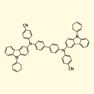 N#Cc1ccc(N(c2ccc(-c3ccc(N(c4ccc(C#N)cc4)c4ccc5c(c4)c4ccccc4n5C4=CC=CCC4)cc3)cc2)c2ccc3c(c2)c2ccccc2n3C2=CC=CCC2)cc1